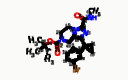 CNC(=O)c1nc(C2(c3cccc(Br)c3)CC2)c2n1CCN(C(=O)OC(C)(C)C)C2